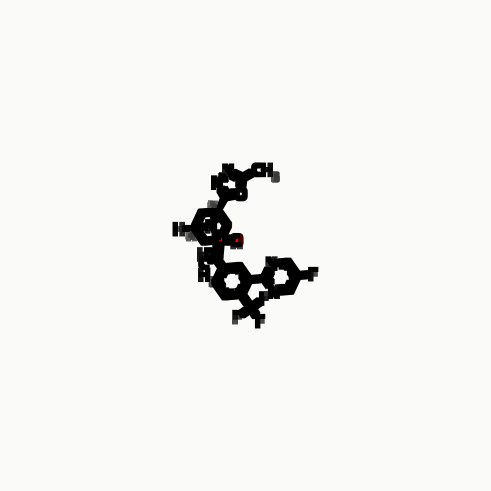 CC[C@@H]1C[C@@H]2C[C@](c3nnc(C)o3)(C1)N2C(=O)Nc1ccc(C(F)(F)F)c(-c2ncc(F)cn2)c1